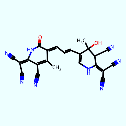 Cc1c(C#N)c(=C(C#N)C#N)[nH]c(=O)/c1=C/C=C/C1=CNC(=C(C#N)C#N)C(C#N)C1(C)O